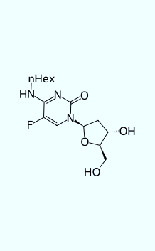 CCCCCCNc1nc(=O)n([C@H]2C[C@H](O)[C@@H](CO)O2)cc1F